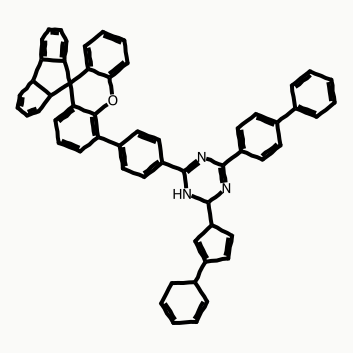 C1=CCC(C2=CC(C3N=C(c4ccc(-c5ccccc5)cc4)N=C(c4ccc(-c5cccc6c5Oc5ccccc5C65c6ccccc6C6C=CC=CC65)cc4)N3)C=C2)C=C1